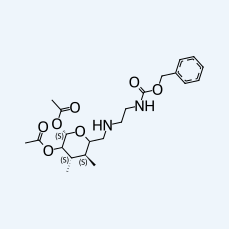 CC(=O)OC1[C@H](OC(C)=O)OC(CNCCNC(=O)OCc2ccccc2)[C@@H](C)[C@@H]1C